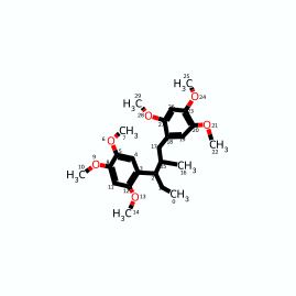 CCC(c1cc(OC)c(OC)cc1OC)C(C)Cc1cc(OC)c(OC)cc1OC